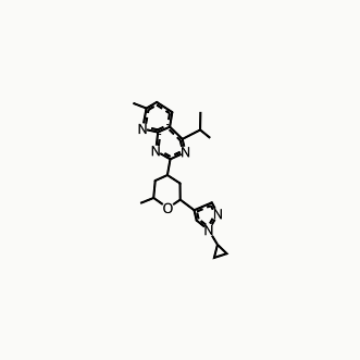 Cc1ccc2c(C(C)C)nc(C3CC(C)OC(c4cnn(C5CC5)c4)C3)nc2n1